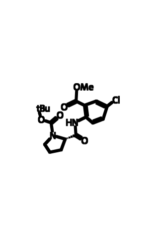 COC(=O)c1cc(Cl)ccc1NC(=O)[C@@H]1CCCN1C(=O)OC(C)(C)C